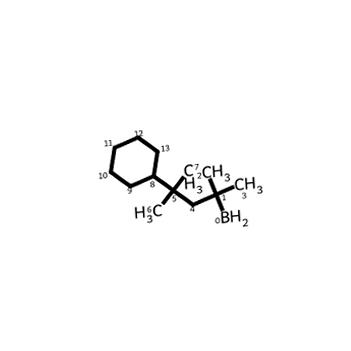 BC(C)(C)CC(C)(C)C1CCCCC1